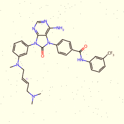 CN(C)C/C=C/CN(C)c1cccc(-n2c(=O)n(-c3ccc(C(=O)Nc4cccc(C(F)(F)F)c4)cc3)c3c(N)ncnc32)c1